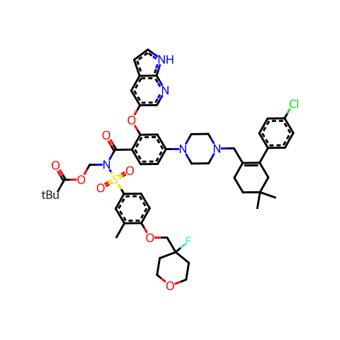 Cc1cc(S(=O)(=O)N(COC(=O)C(C)(C)C)C(=O)c2ccc(N3CCN(CC4=C(c5ccc(Cl)cc5)CC(C)(C)CC4)CC3)cc2Oc2cnc3[nH]ccc3c2)ccc1OCC1(F)CCOCC1